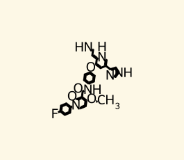 CCOc1ccn(-c2ccc(F)cc2)c(=O)c1C(=O)Nc1ccc(OC2=CC(c3c[nH]cn3)=CN/C2=C\C=N)cc1